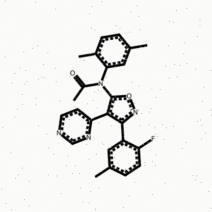 CC(=O)N(c1cc(C)ccc1C)c1onc(-c2cc(C)ccc2F)c1-c1ccncn1